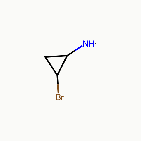 [NH]C1CC1Br